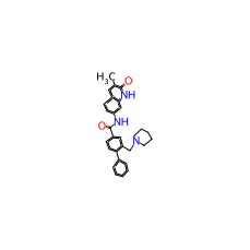 Cc1cc2ccc(NC(=O)c3ccc(-c4ccccc4)c(CN4CCCCC4)c3)cc2[nH]c1=O